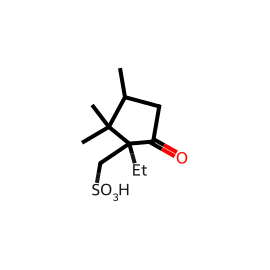 CCC1(CS(=O)(=O)O)C(=O)CC(C)C1(C)C